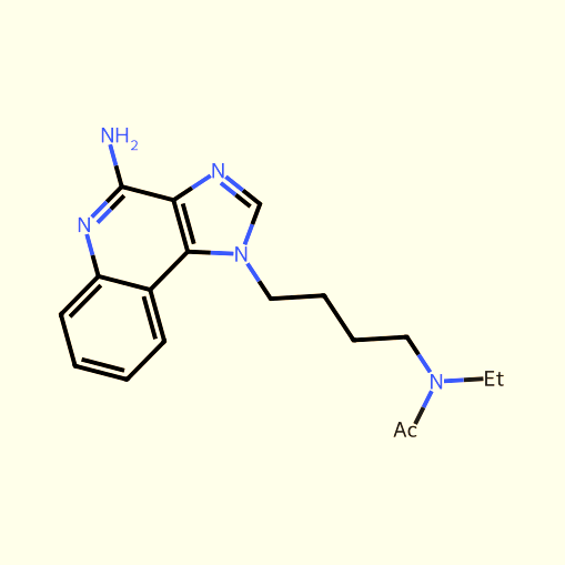 CCN(CCCCn1cnc2c(N)nc3ccccc3c21)C(C)=O